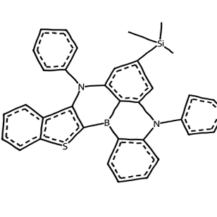 C[Si](C)(C)c1cc2c3c(c1)N(c1ccccc1)c1c(sc4ccccc14)B3c1ccccc1N2c1ccccc1